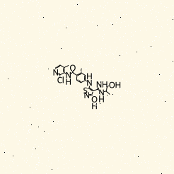 Cc1cc(Nc2snc(O)c2C(=N)NC(C)CO)ccc1C(=O)Nc1c(C)ccnc1Cl